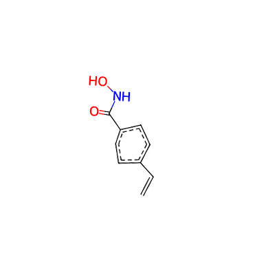 C=Cc1ccc(C(=O)NO)cc1